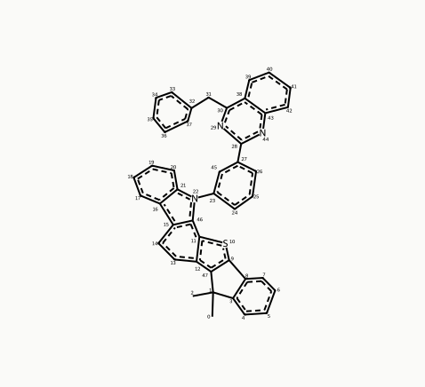 CC1(C)c2ccccc2-c2sc3c(ccc4c5ccccc5n(-c5cccc(-c6nc(Cc7ccccc7)c7ccccc7n6)c5)c43)c21